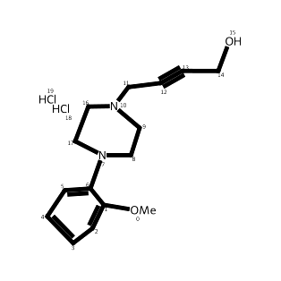 COc1ccccc1N1CCN(CC#CCO)CC1.Cl.Cl